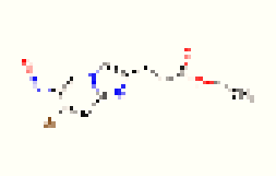 CCOC(=O)CCc1cn2cc(N=O)c(Br)cc2n1